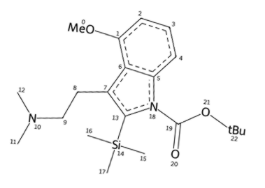 COc1cccc2c1c(CCN(C)C)c([Si](C)(C)C)n2C(=O)OC(C)(C)C